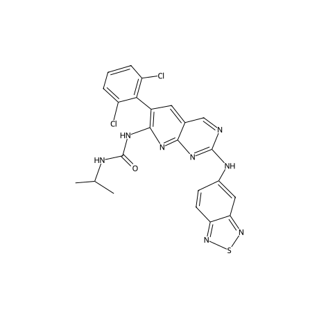 CC(C)NC(=O)Nc1nc2nc(Nc3ccc4nsnc4c3)ncc2cc1-c1c(Cl)cccc1Cl